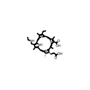 CCNCc1c(C)c2cc3nc(c(C)c4[nH]c(cc5nc(cc1[nH]2)C(C)=C5CC)c(C)c4C(=O)O)[C@@H](CCC(=O)O)[C@@H]3C